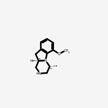 C[C@@H]1CNC[C@H]2Cc3cccc(OC(F)(F)F)c3N21